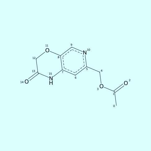 CC(=O)OCc1cc2c(cn1)OCC(=O)N2